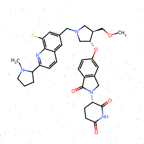 COC[C@@H]1CN(Cc2cc(F)c3nc(C4CCCN4C)ccc3c2)C[C@H]1Oc1ccc2c(c1)CN([C@H]1CCC(=O)NC1=O)C2=O